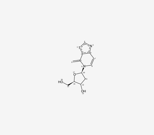 C=C1c2scnc2C=CN1[C@H]1CC(O)[C@@H](CO)O1